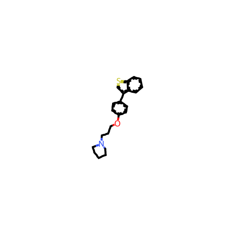 c1ccc2c(-c3ccc(OCCCN4CCCCC4)cc3)csc2c1